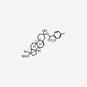 CO[C@]1(C(C)=O)CC[C@H]2[C@@H]3CC=C4CC(O)(OC(C(=O)O)c5ccc(C)cc5)CC[C@]4(C)[C@H]3CC[C@@]21C